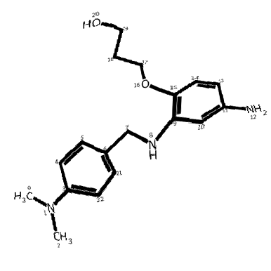 CN(C)c1ccc(CNc2cc(N)ccc2OCCCO)cc1